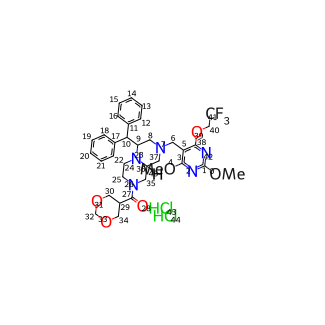 COc1nc(OC)c(CN2CC(C(c3ccccc3)c3ccccc3)N3CCN(C(=O)C4COCOC4)C[C@H]3C2)c(OCC(F)(F)F)n1.Cl.Cl